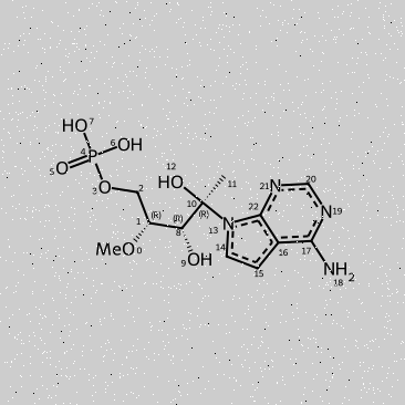 CO[C@H](COP(=O)(O)O)[C@@H](O)[C@@](C)(O)n1ccc2c(N)ncnc21